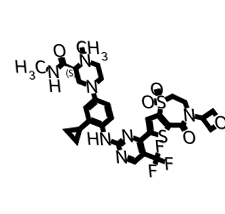 CNC(=O)[C@@H]1CN(c2ccc(Nc3ncc(C(F)(F)F)c(-c4cc5c(s4)C(=O)N(C4COC4)CCS5(=O)=O)n3)c(C3CC3)c2)CCN1C